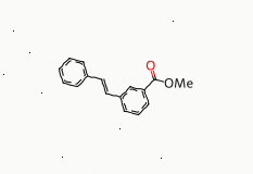 COC(=O)c1cccc(C=Cc2ccccc2)c1